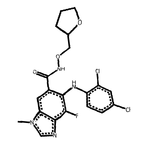 Cn1cnc2c(F)c(Nc3ccc(Cl)cc3Cl)c(C(=O)NOCC3CCCO3)cc21